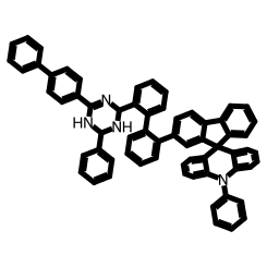 c1ccc(-c2ccc(C3=NC(c4ccccc4-c4ccccc4-c4ccc5c(c4)C4(c6ccccc6-5)c5ccccc5N(c5ccccc5)c5ccccc54)NC(c4ccccc4)N3)cc2)cc1